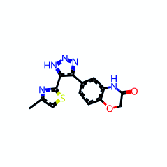 Cc1csc(-c2[nH]nnc2-c2ccc3c(c2)NC(=O)CO3)n1